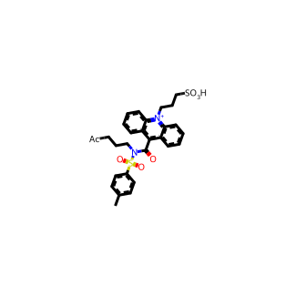 CC(=O)CCCN(C(=O)c1c2ccccc2[n+](CCCS(=O)(=O)O)c2ccccc12)S(=O)(=O)c1ccc(C)cc1